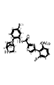 COc1cccc(F)c1-c1csc(C(=O)Nc2cc(F)ccc2N2CC3CC2CN3)n1